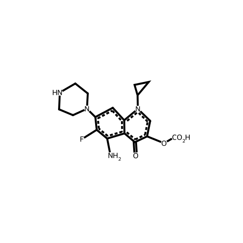 Nc1c(F)c(N2CCNCC2)cc2c1c(=O)c(OC(=O)O)cn2C1CC1